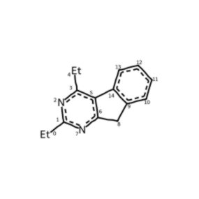 CCc1nc(CC)c2c(n1)Cc1ccccc1-2